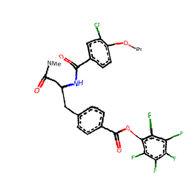 CNC(=O)C(Cc1ccc(C(=O)Oc2c(F)c(F)c(F)c(F)c2F)cc1)NC(=O)c1ccc(OC(C)C)c(Cl)c1